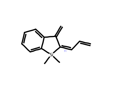 C=C/C=C1\C(=C)c2ccccc2[Si]1(C)C